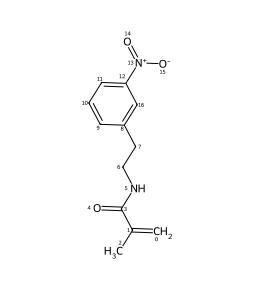 C=C(C)C(=O)NCCc1cccc([N+](=O)[O-])c1